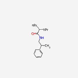 CCCC(CCC)C(=O)NCC(C)c1ccccc1